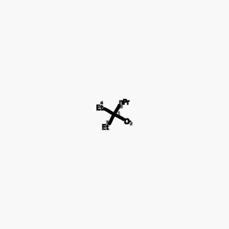 CCCC([O])(CC)CC